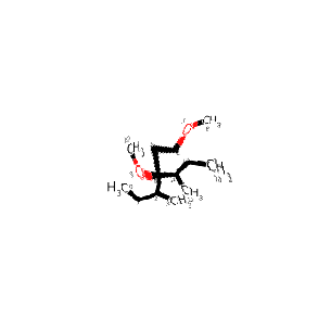 CCC(C)C(CCOC)(OC)C(C)CC